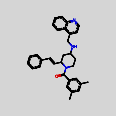 Cc1cc(C)cc(C(=O)N2CCC(NCc3ccnc4ccccc34)CC2/C=C/c2ccccc2)c1